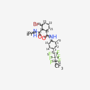 Cc1cc(C(F)(F)C(F)(F)C(F)(F)C(F)(F)F)ccc1NC(=O)c1cccc(Br)c1C(=O)NC(C)C